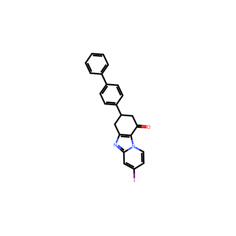 O=C1CC(c2ccc(-c3ccccc3)cc2)Cc2nc3cc(I)ccn3c21